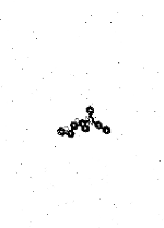 C[C@@H]1C(c2ccc(-c3ccccc3)cc2)=NC(c2cc3oc4ccc(-c5cccc6c5oc5ccccc56)cc4c3c3ccccc23)=NC1c1ccccc1